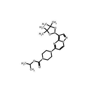 CC(C)OC(=O)N1CCN(c2ccn3ncc(B4OC(C)(C)C(C)(C)O4)c3n2)CC1